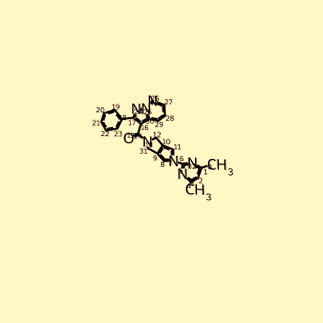 Cc1cc(C)nc(-n2cc3c(c2)CN(C(=O)c2c(-c4ccccc4)nn4ncccc24)C3)n1